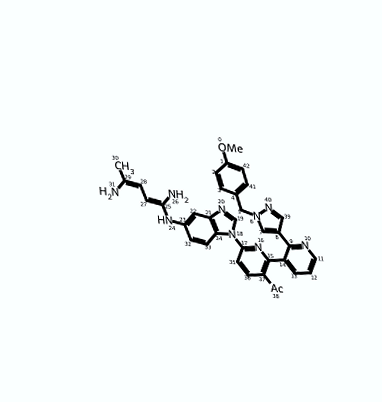 COc1ccc(Cn2cc(-c3ncccc3-c3nc(-n4cnc5cc(N/C(N)=C/C=C(/C)N)ccc54)ccc3C(C)=O)cn2)cc1